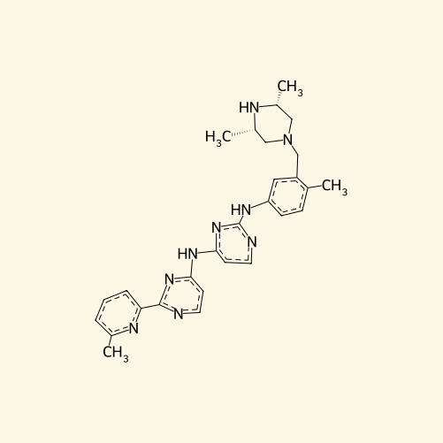 Cc1cccc(-c2nccc(Nc3ccnc(Nc4ccc(C)c(CN5C[C@@H](C)N[C@@H](C)C5)c4)n3)n2)n1